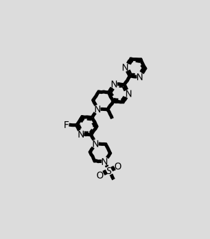 CC1c2cnc(-c3ncccn3)nc2CCN1c1cc(F)nc(N2CCN(S(C)(=O)=O)CC2)c1